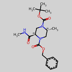 CNC(=O)[C@H]1CN(C(=O)OC(C)(C)C)[C@H](C)CN1C(=O)OCc1ccccc1